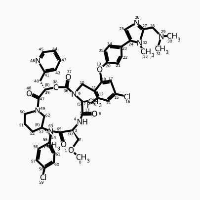 COC[C@@H]1NC(=O)[C@H](C)N(Cc2c(F)cc(Cl)cc2Oc2ccc(-c3cnc(CN(C)C)n3C)cc2)C(=O)C[C@@H](Cc2ccccn2)C(=O)N2CCC[C@@](Cc3ccc(Cl)cc3)(C2)N(C)C1=O